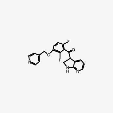 O=C(c1c(F)ccc(OCc2ccncc2)c1F)C1CNc2ncccc21